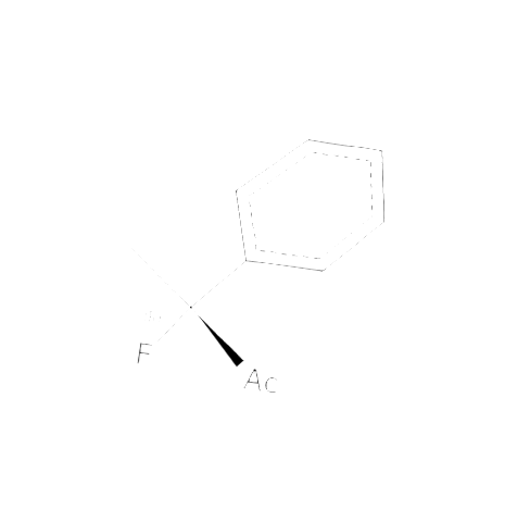 CC(=O)[C@](C)(F)c1ccccc1